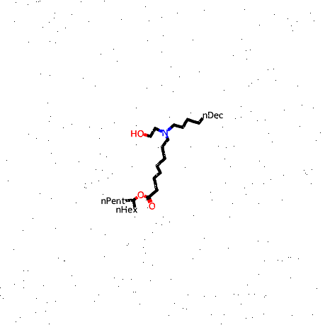 CCCCCCCCCCCCCCN(CCO)CCCCCCCC(=O)OC(CCCCC)CCCCCC